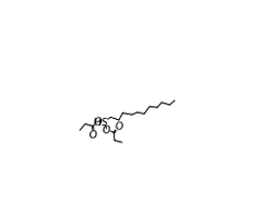 CCCCCCCCCCC[SH](OC(=O)CC)OC(=O)CC